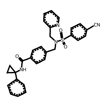 N#Cc1ccc(S(=O)(=O)N(Cc2ccc(C(=O)NC3(c4ccccc4)CC3)cc2)Cc2ccccn2)cc1